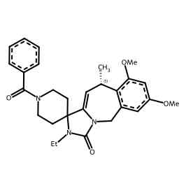 CCN1C(=O)N2Cc3cc(OC)cc(OC)c3[C@@H](C)C=C2C12CCN(C(=O)c1ccccc1)CC2